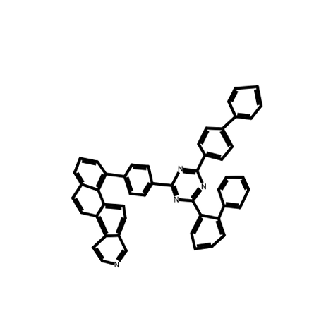 c1ccc(-c2ccc(-c3nc(-c4ccc(-c5cccc6ccc7c8ccncc8ccc7c56)cc4)nc(-c4ccccc4-c4ccccc4)n3)cc2)cc1